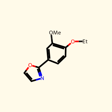 CCOc1ccc(-c2ncco2)cc1OC